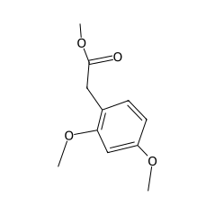 COC(=O)Cc1ccc(OC)cc1OC